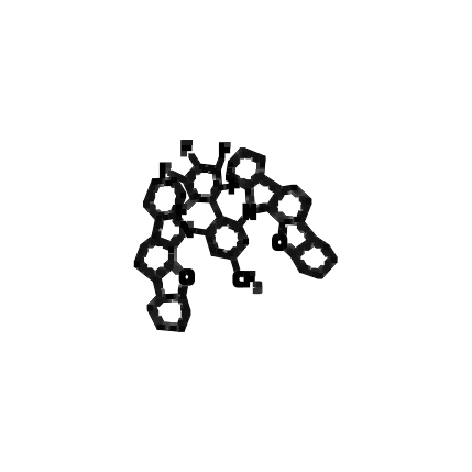 Fc1c(F)c(F)c(-c2c(-n3c4ccccc4c4ccc5c6ccccc6oc5c43)cc(C(F)(F)F)cc2-n2c3ccccc3c3ccc4c5ccccc5oc4c32)c(F)c1F